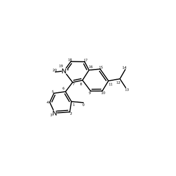 Cc1cnccc1-c1c2ccc(C(C)C)cc2cc[n+]1C